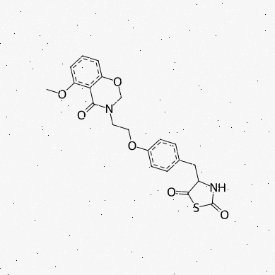 COc1cccc2c1C(=O)N(CCOc1ccc(CC3NC(=O)SC3=O)cc1)CO2